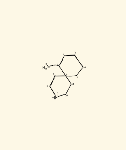 NC1CCCCC12CCNCC2